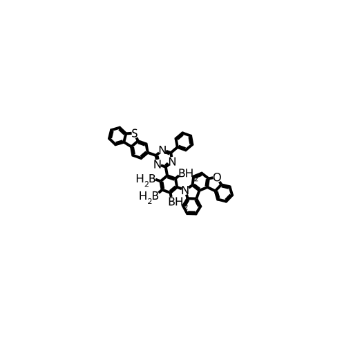 Bc1c(B)c(-c2nc(-c3ccccc3)nc(-c3ccc4c(c3)sc3ccccc34)n2)c(B)c(-n2c3ccccc3c3c4c(ccc32)oc2ccccc24)c1B